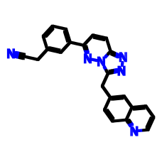 N#CCc1cccc(-c2ccc3nnc(Cc4ccc5ncccc5c4)n3n2)c1